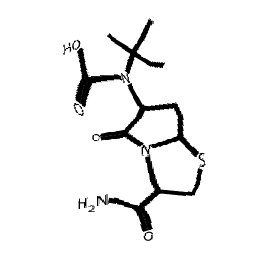 CC(C)(C)N(C(=O)O)C1CC2SCC(C(N)=O)N2C1=O